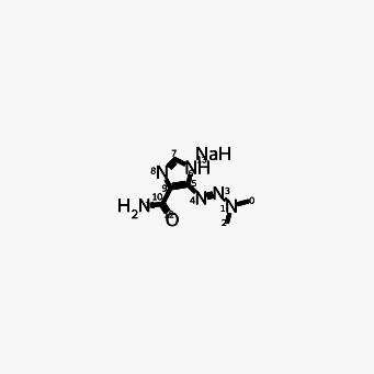 CN(C)N=Nc1[nH]cnc1C(N)=O.[NaH]